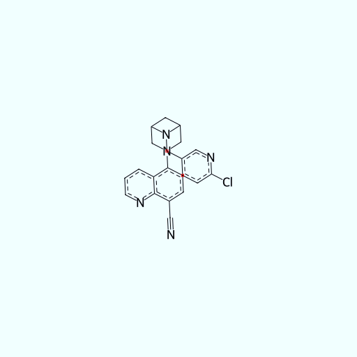 N#Cc1ccc(N2CC3CC(C2)N3Cc2ccc(Cl)nc2)c2cccnc12